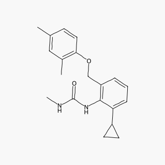 CNC(=O)Nc1c(COc2ccc(C)cc2C)cccc1C1CC1